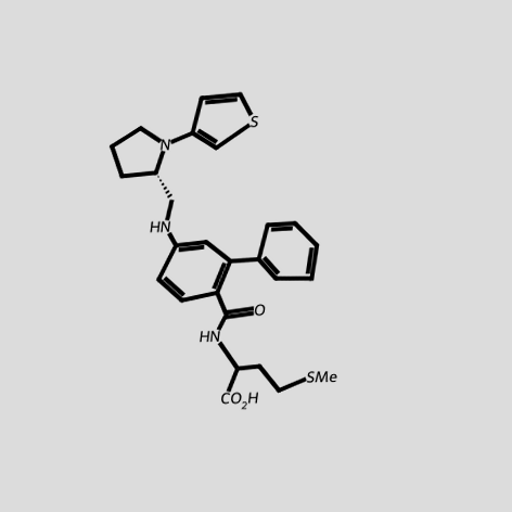 CSCCC(NC(=O)c1ccc(NC[C@@H]2CCCN2c2ccsc2)cc1-c1ccccc1)C(=O)O